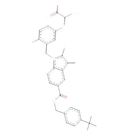 Cc1c(C)n(Cc2cc(OC(C)C(=O)O)ccc2F)c2ccc(C(=O)N[C@@H](C)c3ccc(C(C)(C)C)cc3)cc12